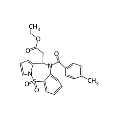 CCOC(=O)CC1c2cccn2S(=O)(=O)c2ccccc2N1C(=O)c1ccc(C)cc1